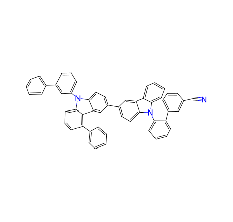 N#Cc1cccc(-c2ccccc2-n2c3ccccc3c3cc(-c4ccc5c(c4)c4c(-c6ccccc6)cccc4n5-c4cccc(-c5ccccc5)c4)ccc32)c1